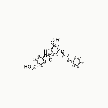 CC(C)Oc1cc(OCCCc2ccccc2)cc(C(=O)Nc2ccc(C(=O)O)cn2)c1